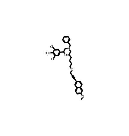 COc1ccc2cc(C#CCOCCCCCCN(Cc3ccccc3)CC(O)c3cc(Cl)c(N)c(Cl)c3)ccc2c1